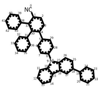 N#Cc1ccc(-c2ccc(-n3c4ccccc4c4cc(-c5ccccc5)ccc43)cc2)c(-c2ccccc2)c1-c1ccccc1